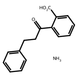 N.O=C(O)c1ccccc1C(=O)CCc1ccccc1